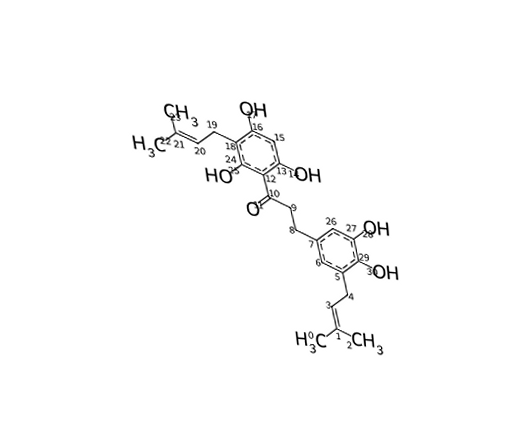 CC(C)=CCc1cc(CCC(=O)c2c(O)cc(O)c(CC=C(C)C)c2O)cc(O)c1O